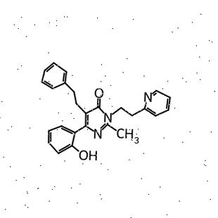 Cc1nc(-c2ccccc2O)c(CCc2ccccc2)c(=O)n1CCc1ccccn1